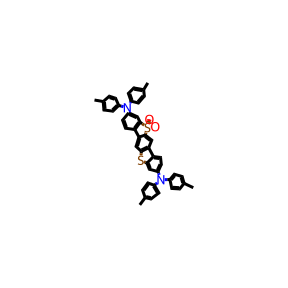 Cc1ccc(N(c2ccc(C)cc2)c2ccc3c(c2)S(=O)(=O)c2cc4c(cc2-3)sc2cc(N(c3ccc(C)cc3)c3ccc(C)cc3)ccc24)cc1